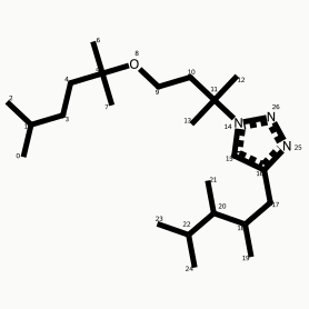 CC(C)CCC(C)(C)OCCC(C)(C)n1cc(CC(C)C(C)C(C)C)nn1